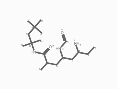 CCC(N)CC(CC(C)C(=O)NC(C)(C)CC(C)(C)C)NC=O